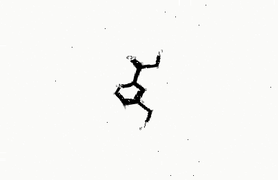 O=C(CI)c1cc(CI)ccn1